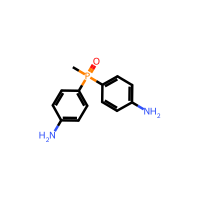 CP(=O)(c1ccc(N)cc1)c1ccc(N)cc1